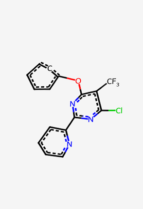 FC(F)(F)c1c(Cl)nc(-c2ccccn2)nc1Oc1ccccc1